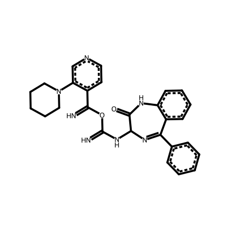 N=C(NC1N=C(c2ccccc2)c2ccccc2NC1=O)OC(=N)c1ccncc1N1CCCCC1